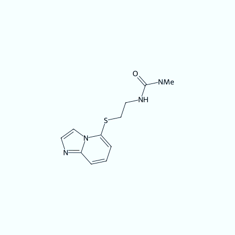 CNC(=O)NCCSc1cccc2nccn12